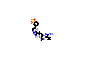 Cc1cc(CC(C)(C)c2c(N)nn3ccc(-c4cccc(S(C)(=O)=O)c4)nc23)n2nc(N)c(C(C)(C)C)c2n1